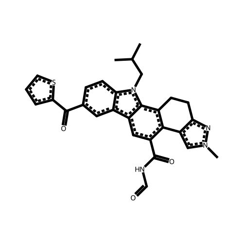 CC(C)Cn1c2ccc(C(=O)c3cccs3)cc2c2cc(C(=O)NC=O)c3c(c21)CCc1nn(C)cc1-3